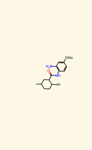 COc1ccc(NC(=O)C2CC(C)CCC2C(C)C)c(N)c1